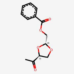 CC(=O)[C@@H]1CO[C@@H](COC(=O)c2ccccc2)O1